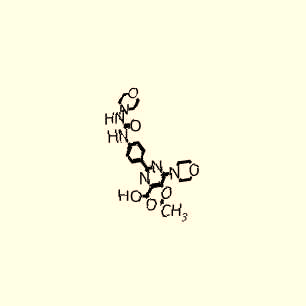 CCOc1c(C(=O)O)nc(-c2ccc(NC(=O)NN3CCOCC3)cc2)nc1N1CCOCC1